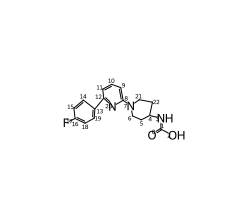 O=C(O)NC1CCN(c2cccc(-c3ccc(F)cc3)n2)CC1